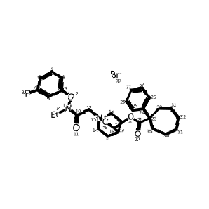 CCN(Oc1cccc(F)c1)C(=O)C[N+]12CCC(CC1)C(OC(=O)C1(c3ccccc3)CCCCCC1)C2.[Br-]